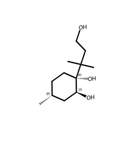 C[C@@H]1CC[C@@](O)(C(C)(C)CCO)[C@@H](O)C1